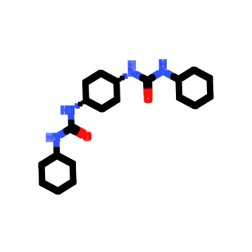 O=C(NC1CCCCC1)N[C@H]1CC[C@@H](NC(=O)NC2CCCCC2)CC1